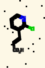 O=C(O)/C=C/c1cccnc1Cl